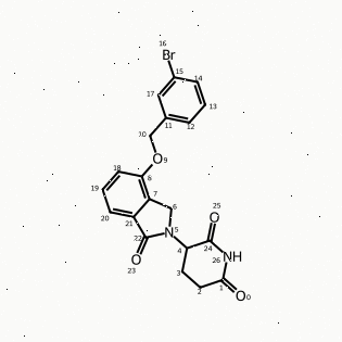 O=C1CCC(N2Cc3c(OCc4cccc(Br)c4)cccc3C2=O)C(=O)N1